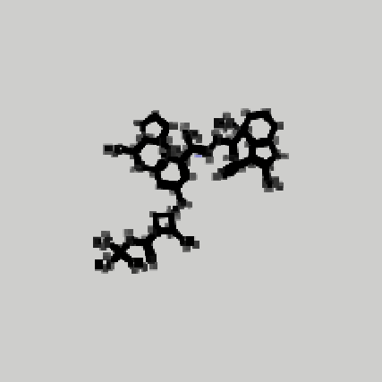 C[C@H](Oc1cc(O[C@H]2CN(C(=O)OC(C)(C)C)[C@@H]2C)cc(/C(N)=N/OC(=O)[C@@]2(C)CCCc3sc(N)c(C#N)c32)n1)[C@@H]1CCCN1C